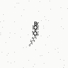 CCCCCCc1ccc(-c2ccc(Br)cc2)cc1